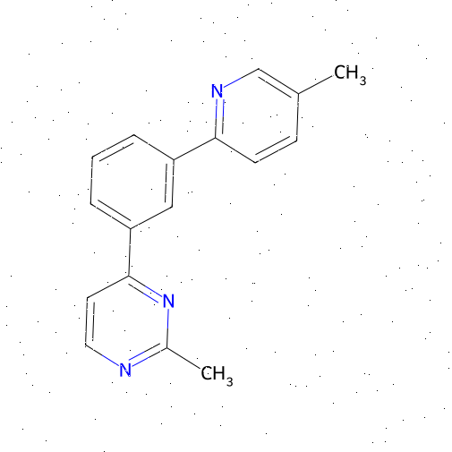 Cc1ccc(-c2cccc(-c3ccnc(C)n3)c2)nc1